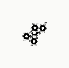 Fc1ccc(S/C=C(Sc2ccccc2)/C(=N/c2ccccc2)Sc2ccccc2)cc1